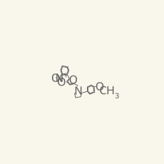 COc1ccc(C2CCCN2Cc2ccc(-c3ccccc3[N+](=O)[O-])o2)cc1